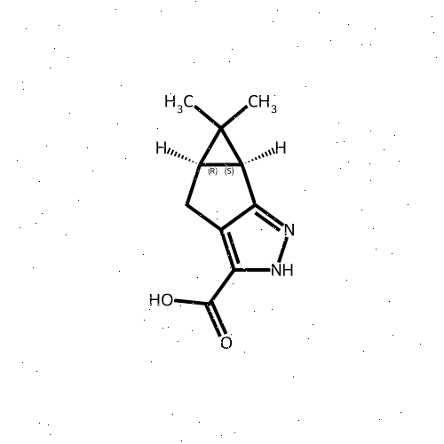 CC1(C)[C@@H]2Cc3c(n[nH]c3C(=O)O)[C@@H]21